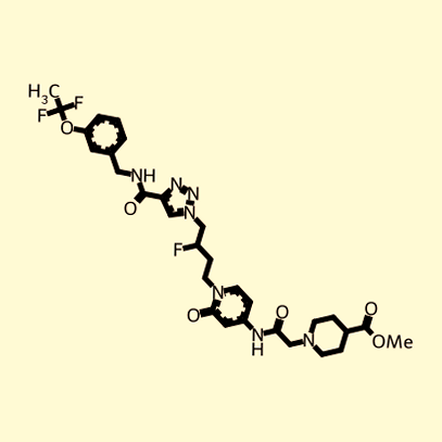 COC(=O)C1CCN(CC(=O)Nc2ccn(CCC(F)Cn3cc(C(=O)NCc4cccc(OC(C)(F)F)c4)nn3)c(=O)c2)CC1